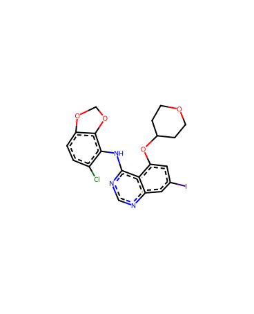 Clc1ccc2c(c1Nc1ncnc3cc(I)cc(OC4CCOCC4)c13)OCO2